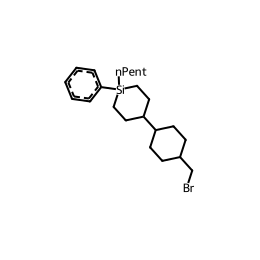 CCCCC[Si]1(c2ccccc2)CCC(C2CCC(CBr)CC2)CC1